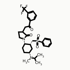 CC(C)N(C)[C@@H]1CC[C@H](N2CCC(CC(=O)c3cccc(C(F)(F)F)c3)C2=O)[C@H](CS(=O)(=O)c2ccccc2)C1